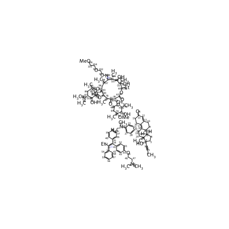 CC#C[C@]1(O)CC[C@H]2[C@@H]3CCC4=CC(=O)CCC4=C3[C@@H](c3ccc(N(C)C)cc3)C[C@@]21C.CC/C(=C(\c1ccccc1)c1ccc(OCCN(C)C)cc1)c1ccccc1.CC[C@H]1OC(=O)[C@H](C)[C@@H](O[C@H]2C[C@@](C)(OC)[C@@H](O)[C@H](C)O2)[C@H](C)[C@@H](O[C@@H]2O[C@H](C)C[C@H](N(C)C)[C@H]2O)[C@](C)(O)C[C@@H](C)/C(=N\OCOCCOC)[C@H](C)[C@@H](O)[C@]1(C)O